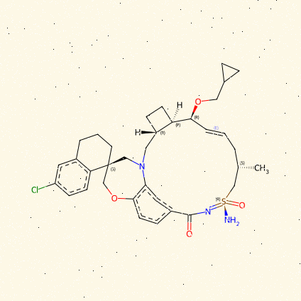 C[C@H]1C/C=C/[C@H](OCC2CC2)[C@@H]2CC[C@H]2CN2C[C@@]3(CCCc4cc(Cl)ccc43)COc3ccc(cc32)C(=O)N=[S@@](N)(=O)C1